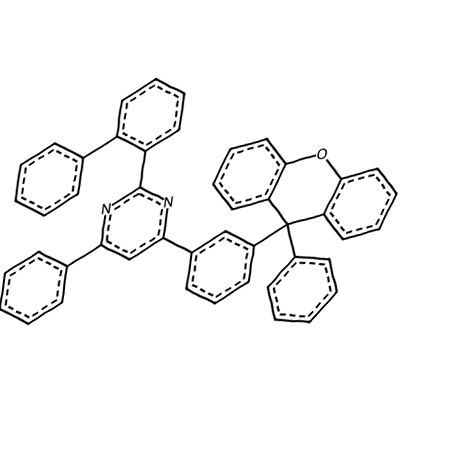 c1ccc(-c2cc(-c3cccc(C4(c5ccccc5)c5ccccc5Oc5ccccc54)c3)nc(-c3ccccc3-c3ccccc3)n2)cc1